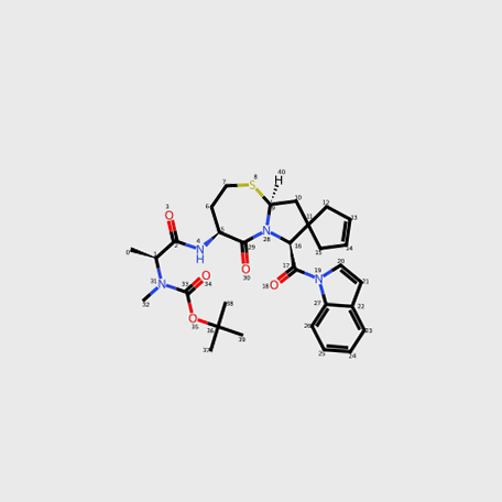 C[C@@H](C(=O)N[C@H]1CCS[C@H]2CC3(CC=CC3)[C@@H](C(=O)n3ccc4ccccc43)N2C1=O)N(C)C(=O)OC(C)(C)C